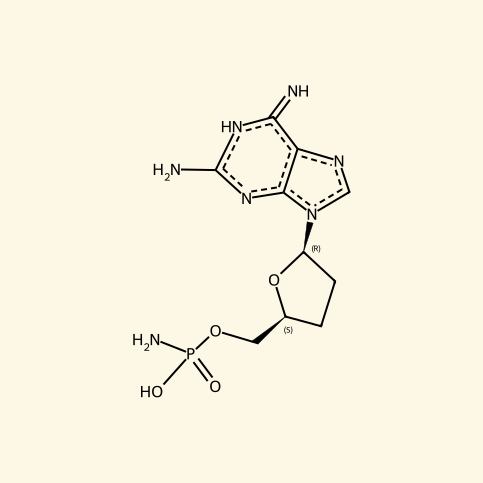 N=c1[nH]c(N)nc2c1ncn2[C@H]1CC[C@@H](COP(N)(=O)O)O1